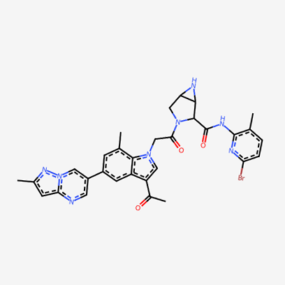 CC(=O)c1cn(CC(=O)N2CC3NC3C2C(=O)Nc2nc(Br)ccc2C)c2c(C)cc(-c3cnc4cc(C)nn4c3)cc12